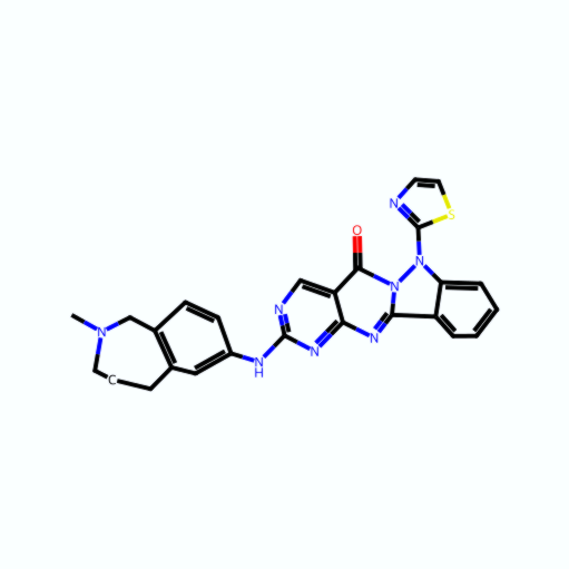 CN1CCCc2cc(Nc3ncc4c(=O)n5c(nc4n3)c3ccccc3n5-c3nccs3)ccc2C1